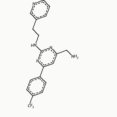 NCc1cc(-c2ccc(C(F)(F)F)cc2)nc(NCCc2cccnc2)n1